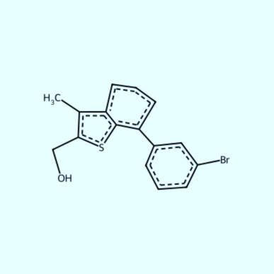 Cc1c(CO)sc2c(-c3cccc(Br)c3)cccc12